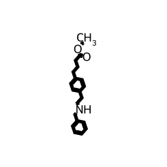 CCOC(=O)CCCc1ccc(CCNCc2ccccc2)cc1